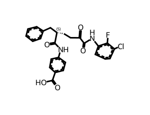 O=C(CC[C@@H](Cc1ccccc1)C(=O)Nc1ccc(C(=O)O)cc1)C(=O)Nc1cccc(Cl)c1F